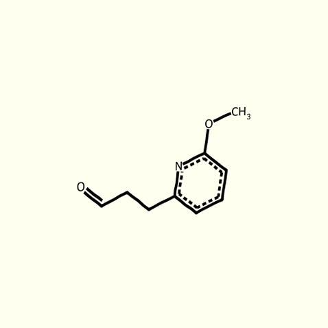 COc1cccc(CCC=O)n1